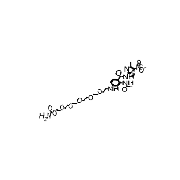 CC(=O)Nc1cc(NCCOCCOCCOCCOCCOCCOC(N)=O)ccc1C(=O)Nc1nc(C)c([N+](=O)[O-])s1